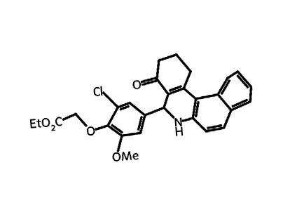 CCOC(=O)COc1c(Cl)cc(C2Nc3ccc4ccccc4c3C3=C2C(=O)CCC3)cc1OC